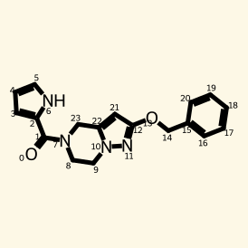 O=C(c1ccc[nH]1)N1CCn2nc(OCc3ccccc3)cc2C1